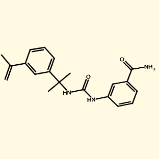 C=C(C)c1cccc(C(C)(C)NC(=O)Nc2cccc(C(N)=O)c2)c1